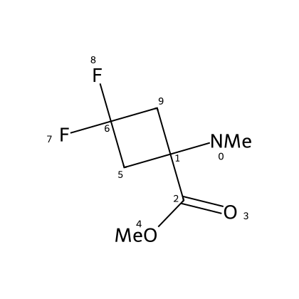 CNC1(C(=O)OC)CC(F)(F)C1